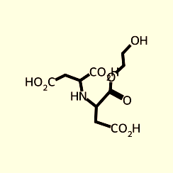 O=C(O)CC(NC(CC(=O)O)C(=O)OCCO)C(=O)O